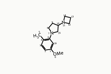 COc1ccc(C)c(N2CCC(N3CCC3)C2)c1